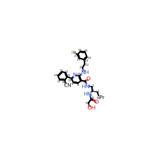 CC(C)C[C@H](CNC(=O)c1ccc(-c2ccccc2C#N)nc1NCCc1cccc(F)c1)NC(=O)CO